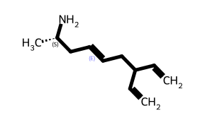 C=CC(C=C)C/C=C/C[C@H](C)N